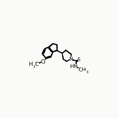 CNC(=S)N1CCC(C2CCc3ccc(OC)cc32)CC1